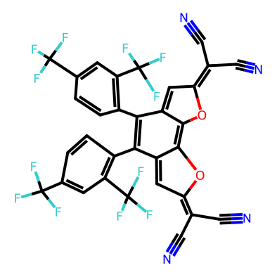 N#CC(C#N)=c1cc2c(-c3ccc(C(F)(F)F)cc3C(F)(F)F)c(-c3ccc(C(F)(F)F)cc3C(F)(F)F)c3cc(=C(C#N)C#N)oc3c2o1